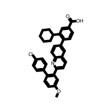 COc1ccc(-c2ccc(Cl)cc2)c(-c2ccc3cc(-c4ccc(C(=O)O)cc4C4CCCCC4)ccc3n2)c1